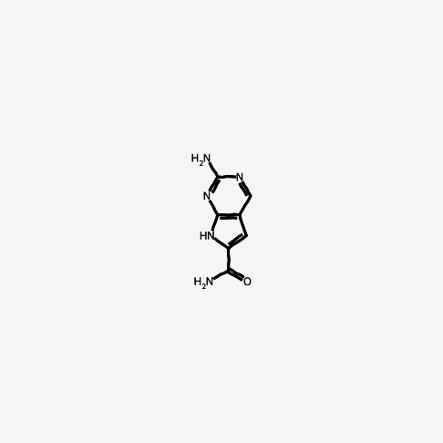 NC(=O)c1cc2cnc(N)nc2[nH]1